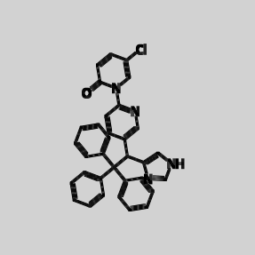 O=c1ccc(Cl)cn1-c1ccc(C(c2c[nH]cn2)C(c2ccccc2)(c2ccccc2)c2ccccc2)cn1